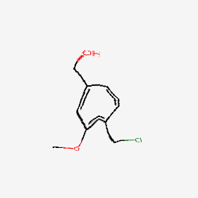 COc1cc(CO)ccc1CCl